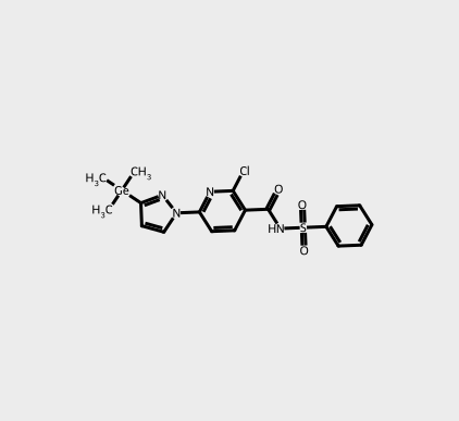 [CH3][Ge]([CH3])([CH3])[c]1ccn(-c2ccc(C(=O)NS(=O)(=O)c3ccccc3)c(Cl)n2)n1